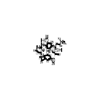 C=CC(O)Nc1cc(Nc2nccc(-n3ncc4cc(OC)ccc43)n2)c(OC)cc1N(C)CCN(C)C